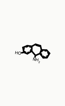 NC1c2ccccc2C=Cc2ccc(O)cc21